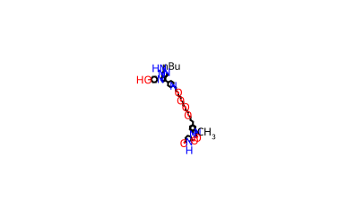 CCCCNc1ncc2c(C3CCN(CCOCCOCCOCCOCCCc4ccc5c(c4)n(C)c(=O)n5[C@H]4CCC(=O)NC4=O)CC3)cn([C@H]3CC[C@H](O)CC3)c2n1